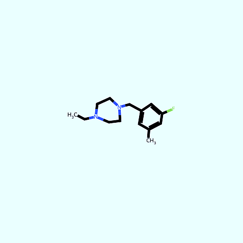 CCN1CCN(Cc2cc(C)cc(F)c2)CC1